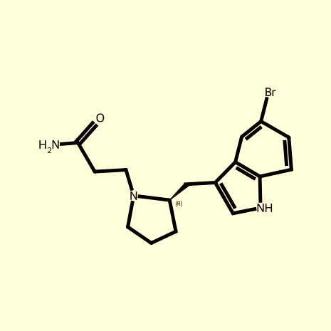 NC(=O)CCN1CCC[C@@H]1Cc1c[nH]c2ccc(Br)cc12